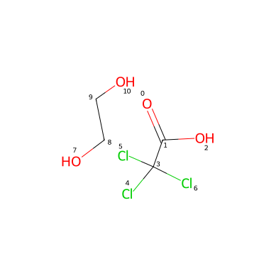 O=C(O)C(Cl)(Cl)Cl.OCCO